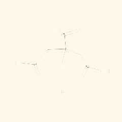 O=C(O)CC(O)(CC(=O)O)C(=O)O.[Er]